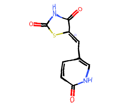 O=C1NC(=O)/C(=C/c2ccc(=O)[nH]c2)S1